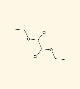 CCOC(Cl)C(Cl)OCC